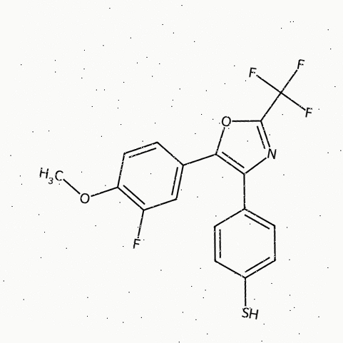 COc1ccc(-c2oc(C(F)(F)F)nc2-c2ccc(S)cc2)cc1F